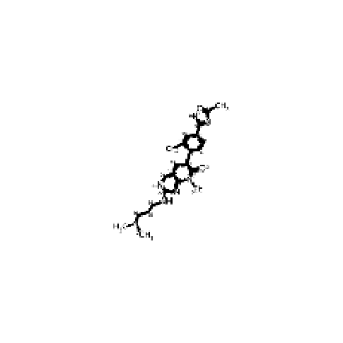 CCn1c(=O)c(-c2ccc(-c3noc(C)n3)cc2Cl)cc2cnc(NCCCN(C)C)nc21